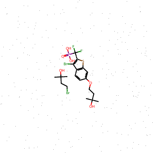 CC(C)(O)CCBr.CC(C)(O)CCOc1ccc2c(Br)c(C(F)(F)P(=O)(O)O)sc2c1